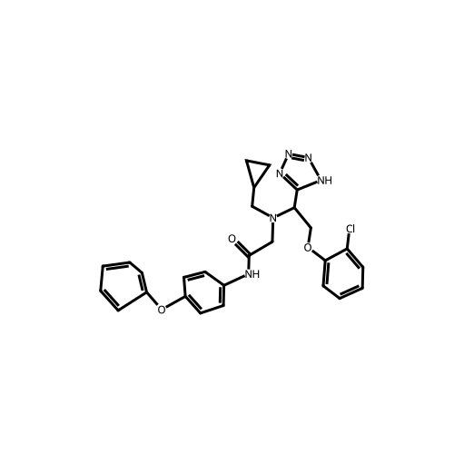 O=C(CN(CC1CC1)C(COc1ccccc1Cl)c1nnn[nH]1)Nc1ccc(Oc2ccccc2)cc1